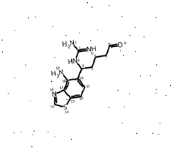 N=C(N)NC(CCCC=O)c1ccc2scnc2c1N